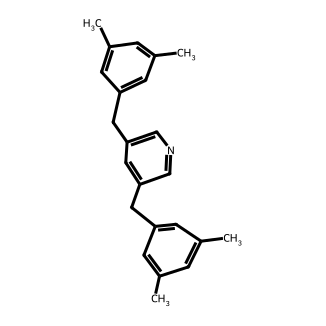 Cc1cc(C)cc(Cc2cncc(Cc3cc(C)cc(C)c3)c2)c1